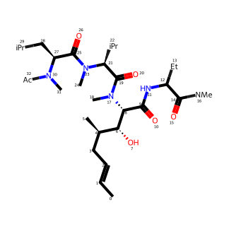 C/C=C/C[C@@H](C)[C@@H](O)[C@@H](C(=O)NC(CC)C(=O)NC)N(C)C(=O)[C@H](C(C)C)N(C)C(=O)[C@H](CC(C)C)N(C)C(C)=O